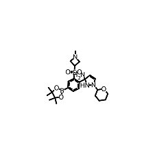 CN1CC(S(=O)(=O)c2cc(B3OC(C)(C)C(C)(C)O3)ccc2C2(N)C=CN(C3CCCCO3)N2)C1